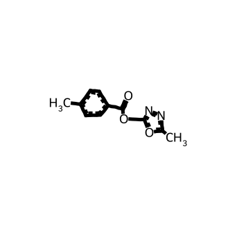 Cc1ccc(C(=O)Oc2nnc(C)o2)cc1